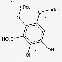 CCCCCCCCCCOc1cc(O)c(O)c(C(=O)O)c1OCCCCCCCCCC